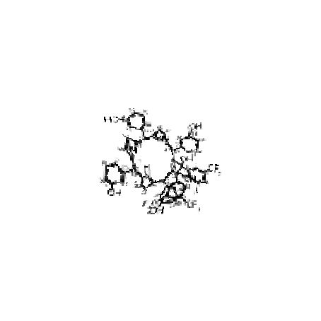 Cc1cc(C(F)(F)F)cc(C2(O)c3nc(c(-c4cccc(O)c4)c4ccc([nH]4)c(-c4cccc(O)c4)c4nc(c(-c5cccc(O)c5)c5ccc([nH]5)c3-c3cccc(O)c3)C=C4)C2(O)c2cc(C(F)(F)F)cc(C(F)(F)F)c2)c1